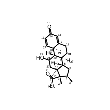 CCC(=O)[C@@]1(C)[C@H](C)C[C@H]2[C@@H]3CCC4=CC(=O)C=C[C@]4(C)[C@H]3C(O)C[C@@]21C